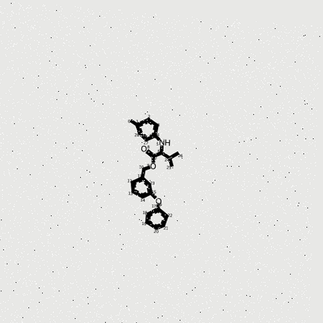 Cc1ccc(NC(C(=O)OCc2cccc(Oc3ccccc3)c2)C(C)C)cc1